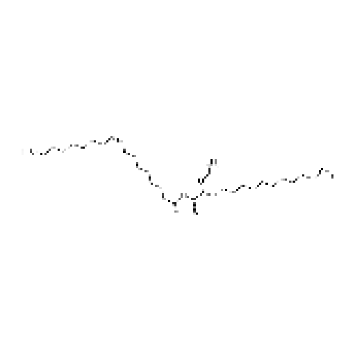 CCCCCCCC/C=C\CCCCCCCC(=O)OC(=O)C(CCCCCCCCCCCC)OCC